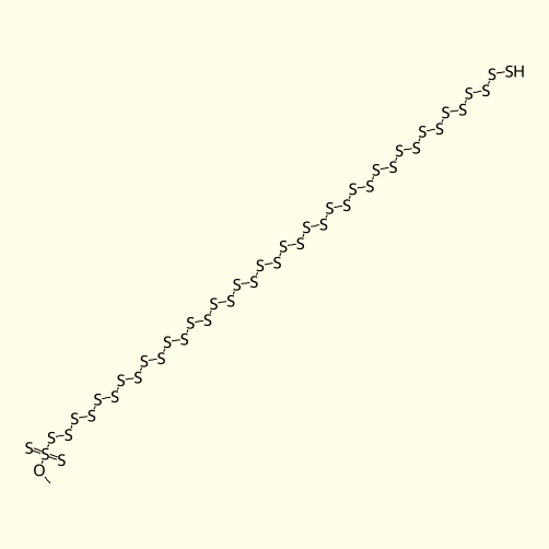 COS(=S)(=S)SSSSSSSSSSSSSSSSSSSSSSSSSSSSSSSSSSSSSSSS